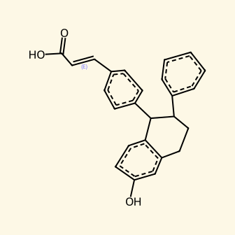 O=C(O)/C=C/c1ccc(C2c3ccc(O)cc3CCC2c2ccccc2)cc1